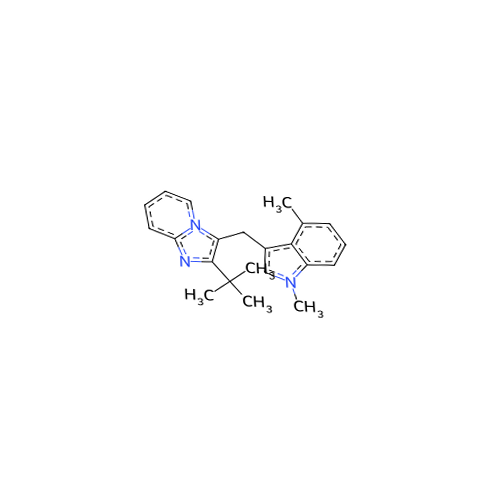 Cc1cccc2c1c(Cc1c(C(C)(C)C)nc3ccccn13)cn2C